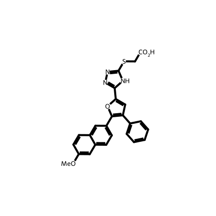 COc1ccc2cc(-c3oc(-c4nnc(SCC(=O)O)[nH]4)cc3-c3ccccc3)ccc2c1